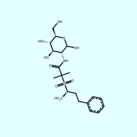 CC(C)(C(=O)N[C@H]1C(O)O[C@H](CO)[C@@H](O)[C@@H]1O)S(=O)(=O)[C@@H](CCc1ccccc1)C(=O)O